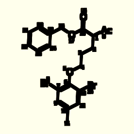 CC(=O)C(CCCOc1c(Br)cc(C)cc1Br)C(=O)OCc1ccccc1